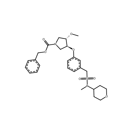 CO[C@H]1CN(C(=O)OCc2ccccc2)C[C@@H]1Oc1cccc(CS(=O)(=O)N(C)C2CCOCC2)c1